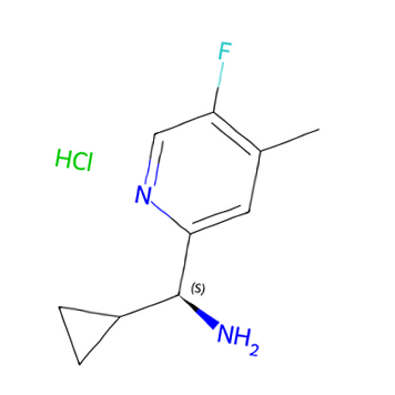 Cc1cc([C@@H](N)C2CC2)ncc1F.Cl